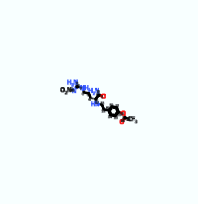 NC(=O)[C@@H](CCCNC(N)=N[N+](=O)[O-])NCCc1ccc(OC(=O)C(F)(F)F)cc1